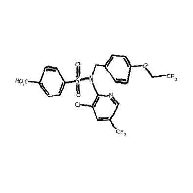 O=C(O)c1ccc(S(=O)(=O)N(Cc2ccc(OCC(F)(F)F)cc2)c2ncc(C(F)(F)F)cc2Cl)cc1